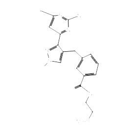 COCCNC(=O)c1cccc(Cc2cn(C)nc2-c2cc(Cl)nc(N)n2)c1